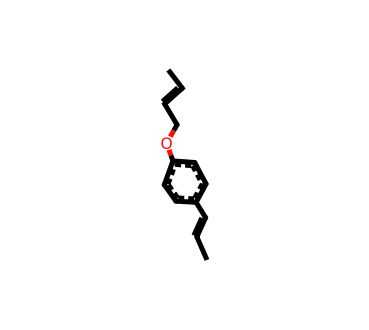 CC=CCOc1ccc(C=CC)cc1